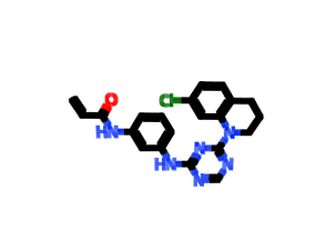 C=CC(=O)Nc1cccc(Nc2ncnc(N3CCCc4ccc(Cl)cc43)n2)c1